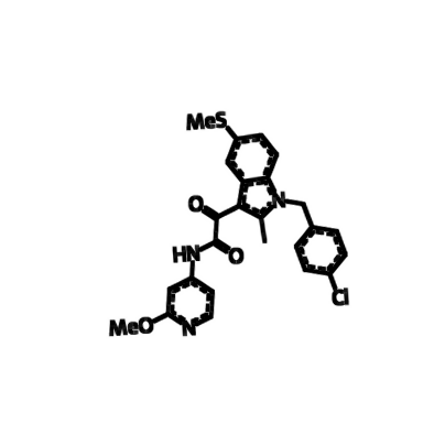 COc1cc(NC(=O)C(=O)c2c(C)n(Cc3ccc(Cl)cc3)c3ccc(SC)cc23)ccn1